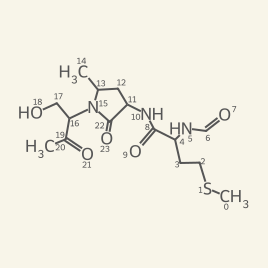 CSCCC(NC=O)C(=O)NC1CC(C)N(C(CO)C(C)=O)C1=O